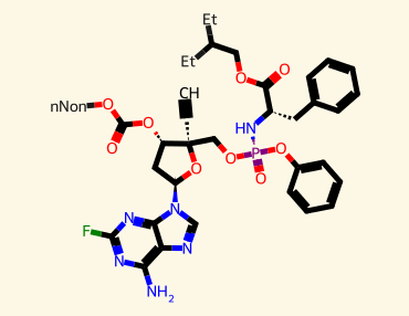 C#C[C@]1(CO[P@@](=O)(N[C@@H](Cc2ccccc2)C(=O)OCC(CC)CC)Oc2ccccc2)O[C@@H](n2cnc3c(N)nc(F)nc32)C[C@@H]1OC(=O)OCCCCCCCCC